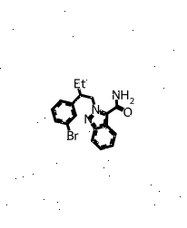 CCC(Cn1nc2ccccc2c1C(N)=O)c1cccc(Br)c1